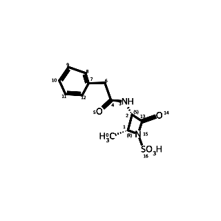 C[C@@H]1[C@H](NC(=O)Cc2ccccc2)C(=O)N1S(=O)(=O)O